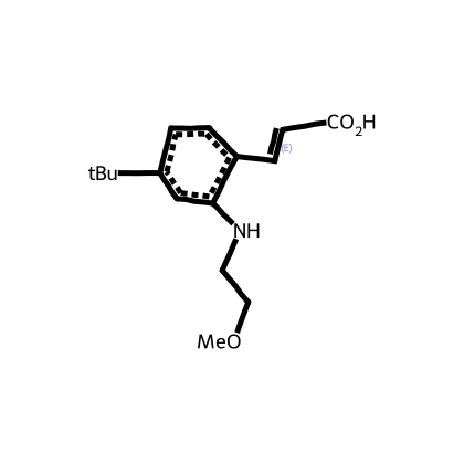 COCCNc1cc(C(C)(C)C)ccc1/C=C/C(=O)O